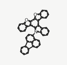 c1ccc2c(c1)-c1cccc3c(-n4c5ccccc5c5c6c7ccccc7oc6c6oc7ccccc7c6c54)ccc-2c13